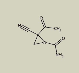 CC(=O)C1(C#N)CN1C(N)=O